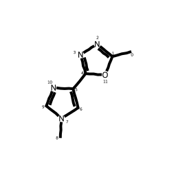 Cc1nnc(-c2cn(C)cn2)o1